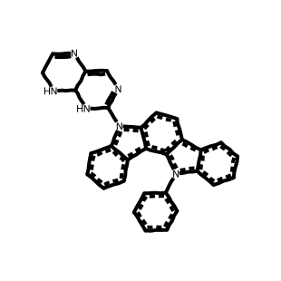 C1=NC2=CN=C(n3c4ccccc4c4c3ccc3c5ccccc5n(-c5ccccc5)c34)NC2NC1